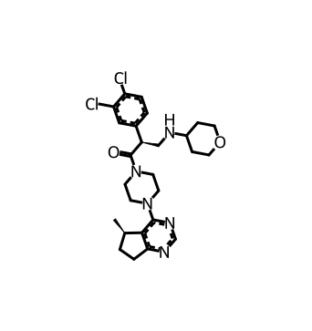 C[C@@H]1CCc2ncnc(N3CCN(C(=O)[C@H](CNC4CCOCC4)c4ccc(Cl)c(Cl)c4)CC3)c21